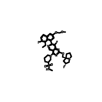 CCc1c(F)ccc2cc(OCOC)cc(-c3ncc4c(N5CCCC(S(=O)(=O)NC)C5)nc(OC[C@@]56CCCN5C[C@H](F)C6)nc4c3F)c12